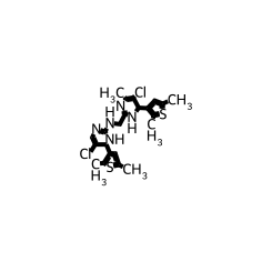 CC1=C(Cl)C(c2cc(C)sc2C)NC(CNC2=NC=C(Cl)C(c3cc(C)sc3C)N2)=N1